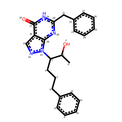 CC(O)C(CCCc1ccccc1)n1ncc2c(=O)[nH]c(Cc3ccccc3)nc21